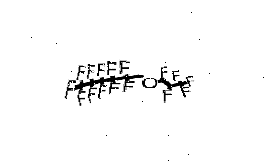 FC(OCC(F)(F)C(F)(F)C(F)(F)C(F)(F)C(F)(F)F)=C(F)C(F)(F)F